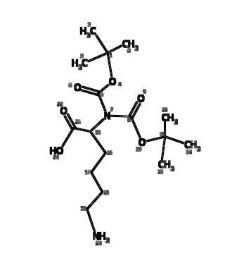 CC(C)(C)OC(=O)N(C(=O)OC(C)(C)C)C(CCCCN)C(=O)O